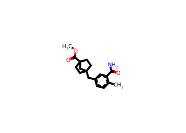 COC(=O)C12CCC(Cc3ccc(C)c(C(N)=O)c3)(CC1)C2